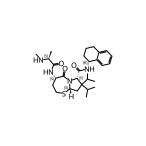 CN[C@@H](C)C(=O)N[C@H]1CCS[C@H]2CC(C(C)C)(C(C)C)[C@@H](C(=O)N[C@@H]3CCCc4ccccc43)N2C1=O